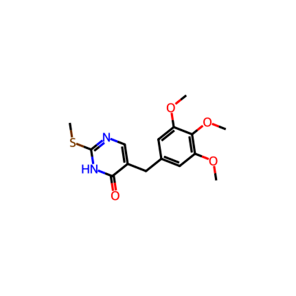 COc1cc(Cc2cnc(SC)[nH]c2=O)cc(OC)c1OC